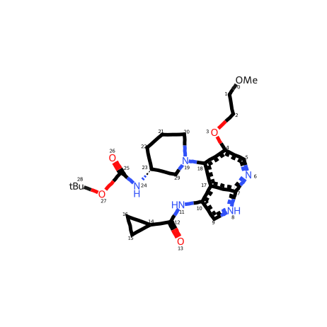 COCCOc1cnc2[nH]cc(NC(=O)C3CC3)c2c1N1CCC[C@@H](NC(=O)OC(C)(C)C)C1